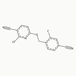 N#Cc1ccc(COc2ccc(C#N)c(Cl)n2)c(F)c1